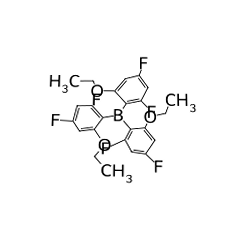 CCOc1cc(F)cc(F)c1B(c1c(F)cc(F)cc1OCC)c1c(F)cc(F)cc1OCC